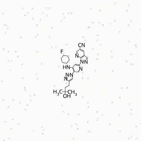 CC(C)(O)CCc1cn(-c2cnc(-n3ncc4cc(C#N)cnc43)cc2N[C@H]2CC[C@@H](F)CC2)nn1